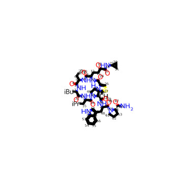 CCC(C)C(NC(=O)C(CC(C)C)NC(=O)C(CCC(=O)C(=O)NC1CC1)NC(=O)c1csc(C)n1)C(=O)NC(CC(C)C)C(=O)N1CCC[C@H]1C(=O)NC(Cc1c[nH]c2ccccc12)C(=O)N1CCC[C@H]1C(N)=O